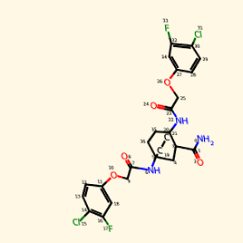 NC(=O)C1CC2(NC(=O)COc3ccc(Cl)c(F)c3)CCC1(NC(=O)COc1ccc(Cl)c(F)c1)CC2